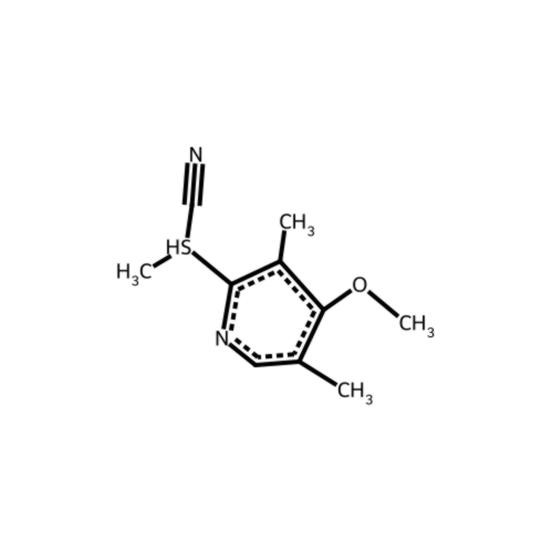 COc1c(C)cnc([SH](C)C#N)c1C